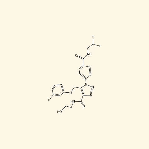 O=C(NCC(F)F)c1ccc(-n2nnc(C(=O)NCCO)c2COc2cccc(F)c2)cc1